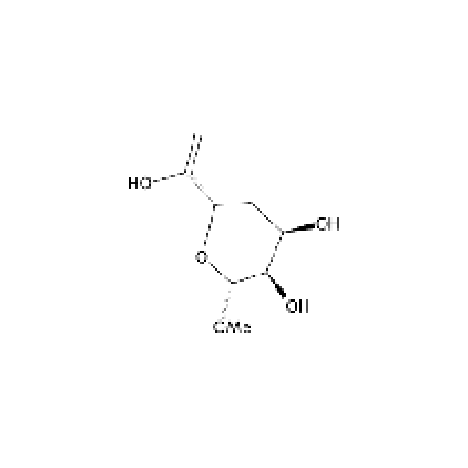 C=C(O)[C@@H]1C[C@@H](O)[C@@H](O)[C@H](OC)O1